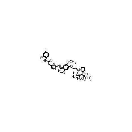 COc1cc2c(Nc3ncc(CC(=O)Nc4ccc(F)cc4F)s3)ncnc2cc1OCCCN1CCC[C@H]1C(C(C)(C)C)C(C)(C)C